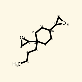 CCCCC1(C2CO2)CCC(C2CO2)CC1